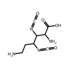 NCCC(N=C=O)C(N=C=O)C(N)C(=O)O